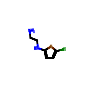 NCCNc1ccc(Cl)s1